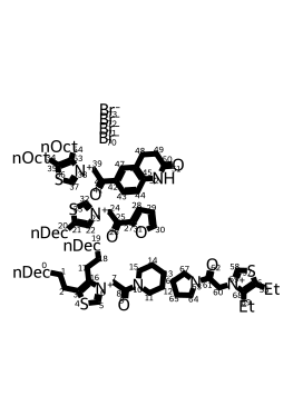 CCCCCCCCCCCCc1sc[n+](CC(=O)N2CCCCC2)c1CCCCCCCCCCCC.CCCCCCCCCCc1c[n+](CC(=O)c2ccco2)cs1.CCCCCCCCc1sc[n+](CC(=O)c2ccc3c(c2)CCC(=O)N3)c1CCCCCCCC.CCc1sc[n+](CC(=O)N2CCCC2)c1CC.[Br-].[Br-].[Br-].[Br-]